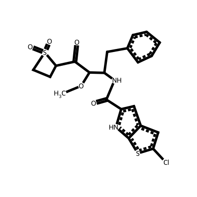 COC(C(=O)C1CCS1(=O)=O)C(Cc1ccccc1)NC(=O)c1cc2cc(Cl)sc2[nH]1